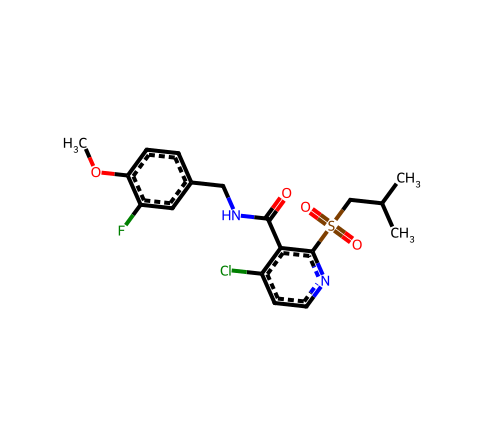 COc1ccc(CNC(=O)c2c(Cl)ccnc2S(=O)(=O)CC(C)C)cc1F